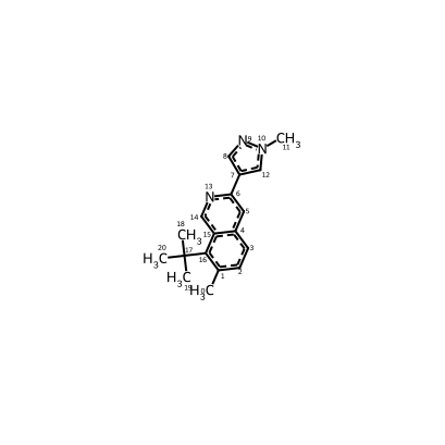 Cc1ccc2cc(-c3cnn(C)c3)ncc2c1C(C)(C)C